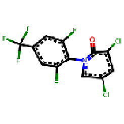 O=c1c(Cl)cc(Cl)cn1-c1c(F)cc(C(F)(F)F)cc1F